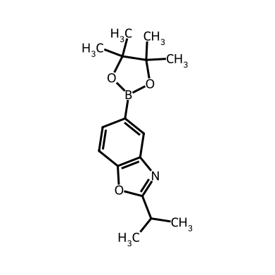 CC(C)c1nc2cc(B3OC(C)(C)C(C)(C)O3)ccc2o1